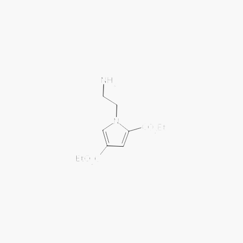 CCOC(=O)c1cc(C(=O)OCC)n(CCN)c1